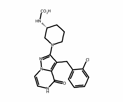 O=C(O)N[C@@H]1CCCN(c2nn3cc[nH]c(=O)c3c2Cc2ccccc2Cl)C1